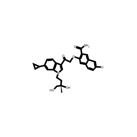 C[C@@](O)(CO)CCn1cc(C(=O)COc2cc3ccc(Cl)cc3cc2C(N)=O)c2ccc(C3CC3)cc21